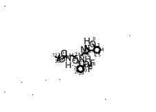 COc1ccccc1-c1cc([C@@H](CCCNC(=O)OC(C)(C)C)NC(=O)c2ccccc2OC(F)F)n[nH]1